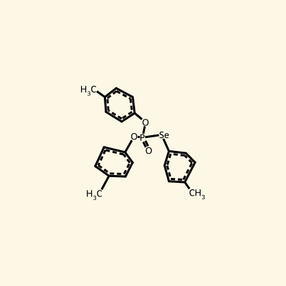 Cc1ccc(OP(=O)(Oc2ccc(C)cc2)[Se]c2ccc(C)cc2)cc1